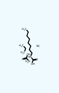 CCC.CCCCCCCCNC(O)=S.NC(O)=S.[Sb]